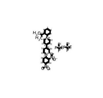 CC(C)c1ccccc1-[n+]1ccc(-c2cc[n+](-c3ccc([N+](=O)[O-])cc3[N+](=O)[O-])cc2)cc1.F[B-](F)(F)F.F[B-](F)(F)F